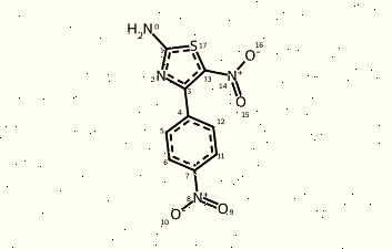 Nc1nc(-c2ccc([N+](=O)[O-])cc2)c([N+](=O)[O-])s1